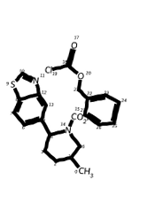 CC1CCC(c2ccc3scnc3c2)N(C(=O)O)C1.O=C(Cl)OCc1ccccc1